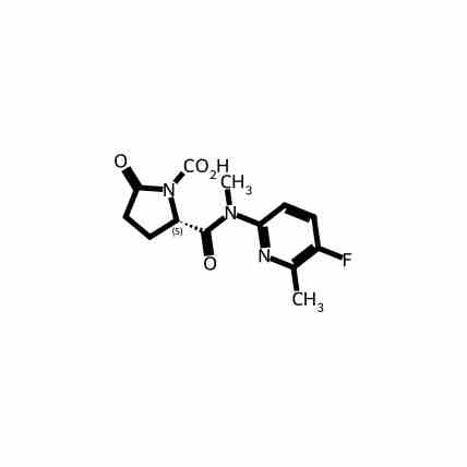 Cc1nc(N(C)C(=O)[C@@H]2CCC(=O)N2C(=O)O)ccc1F